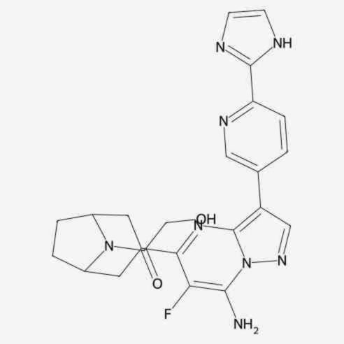 Nc1c(F)c(C2CC3CCC(C2)N3C(=O)CO)nc2c(-c3ccc(-c4ncc[nH]4)nc3)cnn12